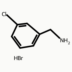 Br.NCc1cccc(Cl)c1